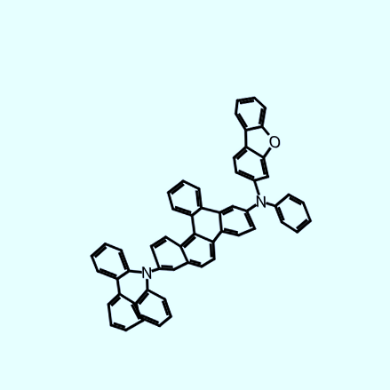 c1ccc(-c2ccccc2N(c2ccccc2)c2ccc3c(ccc4c5ccc(N(c6ccccc6)c6ccc7c(c6)oc6ccccc67)cc5c5ccccc5c34)c2)cc1